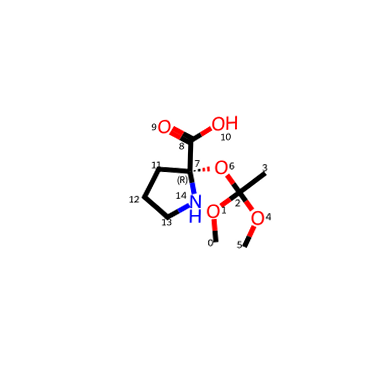 COC(C)(OC)O[C@@]1(C(=O)O)CCCN1